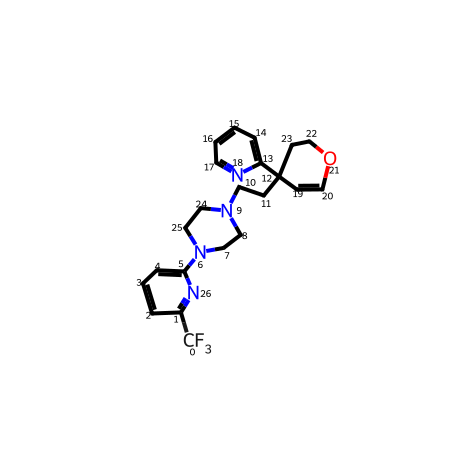 FC(F)(F)c1cccc(N2CCN(CCC3(c4ccccn4)C=COCC3)CC2)n1